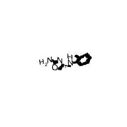 Cc1ccccc1NC[C@H]1COC(N)=N1